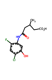 CC(CC(=O)O)CC(=O)Nc1cc(O)c(Cl)cc1F